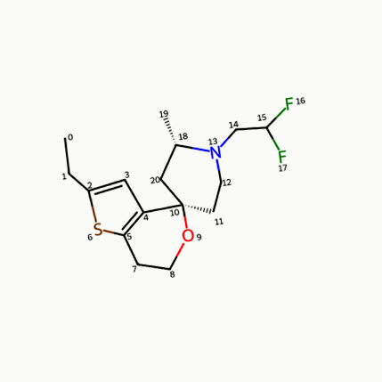 CCc1cc2c(s1)CCO[C@@]21CCN(CC(F)F)[C@@H](C)C1